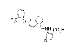 O=C(O)c1ccncc1NCC1CCCc2cc(Oc3ccccc3C(F)(F)F)ccc21